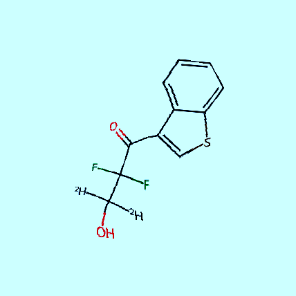 [2H]C([2H])(O)C(F)(F)C(=O)c1csc2ccccc12